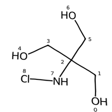 OCC(CO)(CO)NCl